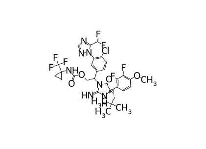 COc1ccc([C@@]2(CC(C)(C)C)NC(=N)N(C(COC(=O)NC3(C(F)(F)F)CC3)c3ccc(Cl)c(-n4ncnc4C(F)F)c3)C2=O)c(F)c1F